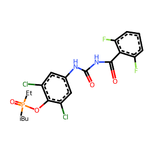 CCC(C)P(=O)(CC)Oc1c(Cl)cc(NC(=O)NC(=O)c2c(F)cccc2F)cc1Cl